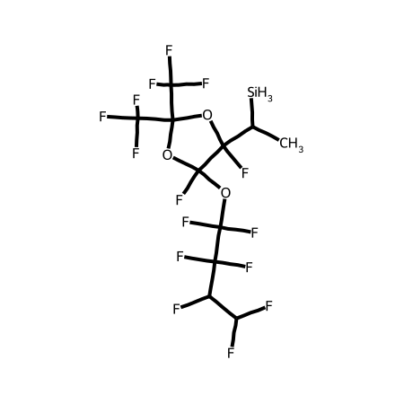 CC([SiH3])C1(F)OC(C(F)(F)F)(C(F)(F)F)OC1(F)OC(F)(F)C(F)(F)C(F)C(F)F